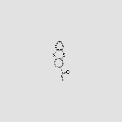 C=CC(=O)c1ccc2c(c1)Sc1ccccc1S2